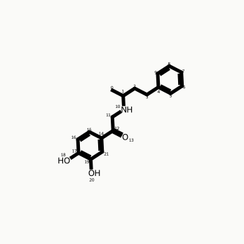 CC(CCc1ccccc1)NCC(=O)c1ccc(O)c(O)c1